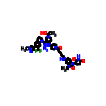 CC(O)N1CCC(NC2CCN(C(=O)CCCCNc3ccc4c(c3)n(C)c(=O)n4C3CCC(=O)NC3=O)CC2)C(C(N)N2CCCc3cc(-c4cnn(C)c4)c(C(F)F)cc32)C1